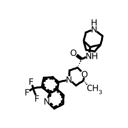 C[C@@H]1CN(c2ccc(C(F)(F)F)c3ncccc23)C[C@H](C(=O)NC2C3CCC2CNC3)O1